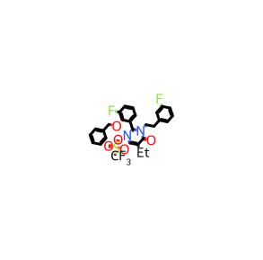 CCc1c(OS(=O)(=O)C(F)(F)F)nc(-c2cccc(F)c2OCc2ccccc2)n(CCc2cccc(F)c2)c1=O